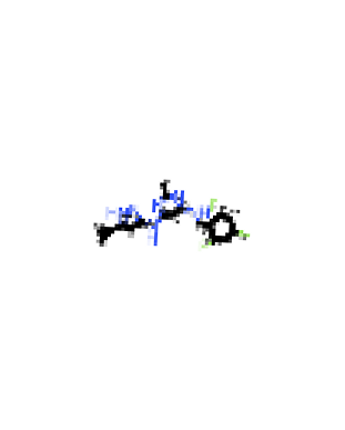 Cc1nc(NCc2c(F)cc(F)cc2F)cc(Nc2cc(C3CC3)[nH]n2)n1